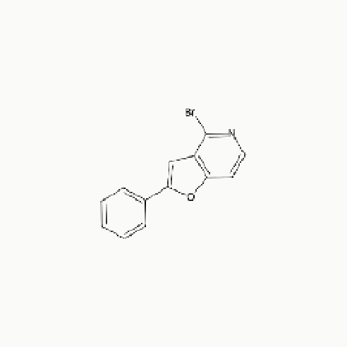 Brc1nccc2oc(-c3ccccc3)cc12